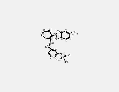 CCS(=O)(=O)Nc1cccc(N=NC2=C(c3nc4ccc(C)cc4o3)C=COC2)c1